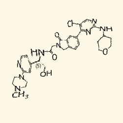 CN1CCN(c2cc([C@@H](CO)NC(=O)CN3Cc4ccc(-c5nc(NC6CCOCC6)ncc5Cl)cc4C3=O)ccn2)CC1